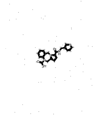 CC(C)C(=O)N1Cc2ccc(C(=O)NCc3cccnc3)n2Cc2ccccc21